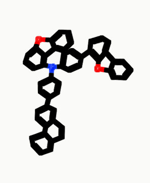 c1ccc2c(c1)ccc1cc(-c3ccc(N(c4ccc(-c5cccc6c5oc5ccccc56)cc4)c4cccc5oc6ccccc6c45)cc3)ccc12